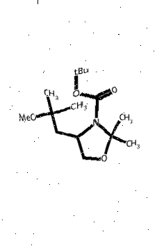 COC(C)(C)CC1COC(C)(C)N1C(=O)OC(C)(C)C